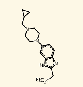 CCOC(=O)Cc1nc2ccc(N3CCN(CC4CC4)CC3)cc2[nH]1